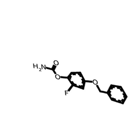 NC(=O)Oc1ccc(OCc2ccccc2)cc1F